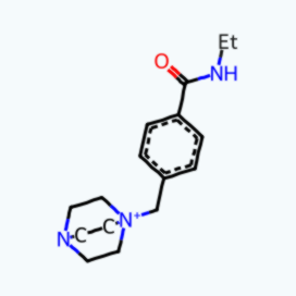 CCNC(=O)c1ccc(C[N+]23CCN(CC2)CC3)cc1